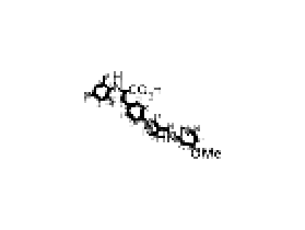 CCc1cc(F)cc(C)c1NC(Cc1ccc(-n2cc(CNc3cc(OC)ccn3)cn2)cc1)C(=O)O